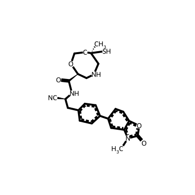 Cn1c(=O)oc2ccc(-c3ccc(C[C@@H](C#N)NC(=O)[C@@H]4CNC[C@](C)(S)CCO4)cc3)cc21